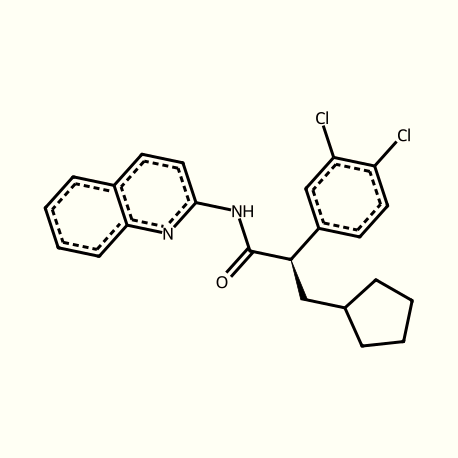 O=C(Nc1ccc2ccccc2n1)[C@H](CC1CCCC1)c1ccc(Cl)c(Cl)c1